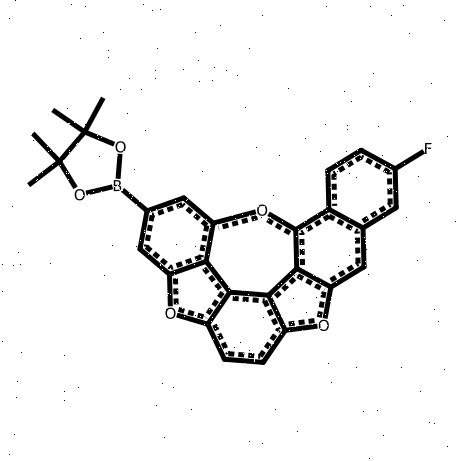 CC1(C)OB(c2cc3oc4ccc5oc6cc7cc(F)ccc7c7oc(c2)c3c4c5c67)OC1(C)C